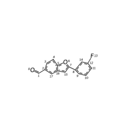 O=Cc1ccc2oc(-c3cccc(F)c3)cc2c1